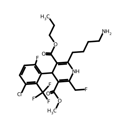 CCCOC(=O)C1=C(CCCCN)NC(CF)=C(C(=O)OC)C1c1c(F)ccc(Cl)c1C(F)(F)F